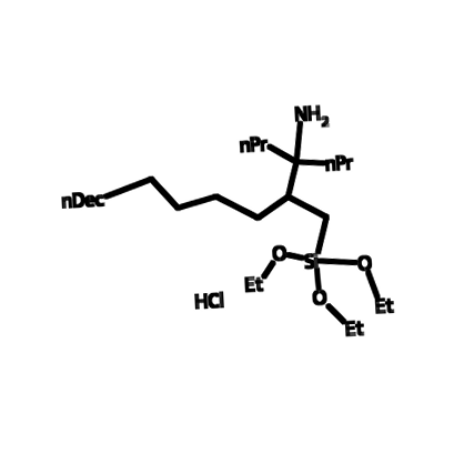 CCCCCCCCCCCCCCC(C[Si](OCC)(OCC)OCC)C(N)(CCC)CCC.Cl